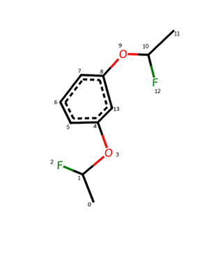 CC(F)Oc1cccc(OC(C)F)c1